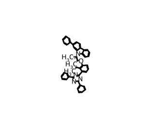 CCc1c(OC(C)[C@@H](C)n2c3ccccc3c3ccc(-c4ccccc4)cc32)cccc1-c1nc(-c2ccccc2)nc(-c2ccccc2)n1